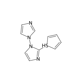 C1=C[SH](c2nccn2-n2ccnc2)C=C1